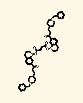 O=C(/C=C/C(=O)ON1CCCc2ccc(C(=O)CCC3CCN(Cc4ccccc4)CC3)cc21)ON1CCCc2ccc(C(=O)CCC3CCN(Cc4ccccc4)CC3)cc21